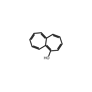 OC1=C2C=CC=CC=C2C=CC=C1